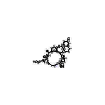 O=C(O)CC[C@H]1CC/C=C/[C@H](O)[C@@H]2CC[C@H]2CN2C[C@@]3(CCCc4cc(Cl)ccc43)COc3ccc(cc32)C(=O)NS1(=O)=O